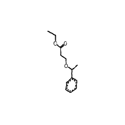 CCOC(=O)CCOC(C)c1ccccc1